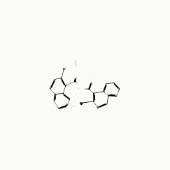 C#Cc1ccc2ccccc2c1C(=O)OC(=O)c1c(C#C)ccc2ccccc12